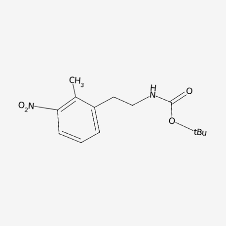 Cc1c(CCNC(=O)OC(C)(C)C)cccc1[N+](=O)[O-]